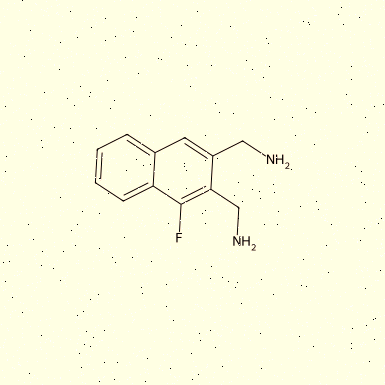 NCc1cc2ccccc2c(F)c1CN